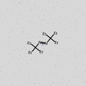 CCC(CC)(CC)/N=N/C(CC)(CC)CC